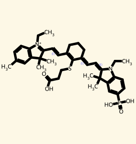 CCN1/C(=C/C=C2\CCCC(/C=C/C3=[N+](CC)c4ccc(C)cc4C3(C)C)=C2SCCC(=O)O)C(C)(C)c2cc(P(=O)(O)O)ccc21